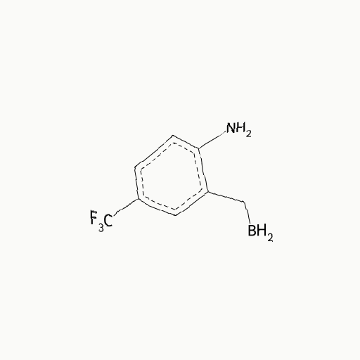 BCc1cc(C(F)(F)F)ccc1N